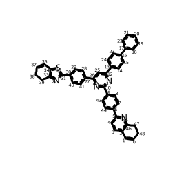 C1=Cc2ccc(-c3ccc(-c4nc(-c5ccc(-c6ccccc6)cc5)cc(-c5ccc(-c6nc7c(s6)C=CCC7)cc5)n4)cc3)nc2CC1